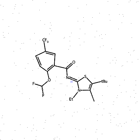 CCn1c(C)c(C(C)(C)C)s/c1=N\C(=O)c1cc(C(F)(F)F)ccc1OC(F)F